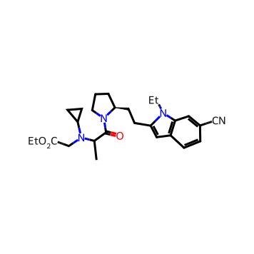 CCOC(=O)CN(C1CC1)C(C)C(=O)N1CCC[C@H]1CCc1cc2ccc(C#N)cc2n1CC